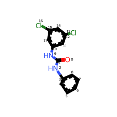 O=C(Nc1ccccc1)Nc1cc(Cl)cc(Cl)c1